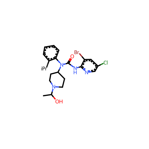 CC(C)c1ccccc1N(C(=O)Nc1ncc(Cl)cc1Br)C1CCN(C(C)O)CC1